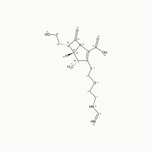 C[C@H]1C(SCOCCNC=N)=C(C(=O)O)N2C(=O)[C@@H](CCO)[C@@H]12